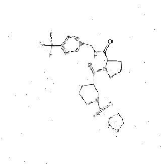 O=C(NCc1ccc(C(F)(F)F)cc1)[C@H]1CCCN1C(=O)[C@H]1CCCN(S(=O)(=O)[C@@H]2CCOC2)C1